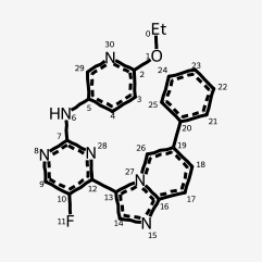 CCOc1ccc(Nc2ncc(F)c(-c3cnc4ccc(-c5ccccc5)cn34)n2)cn1